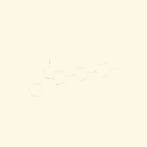 CCOc1cc(N2CCN(C)CC2)ccc1-c1nc2c(C)nc(-c3ccccc3)n2c(=O)[nH]1